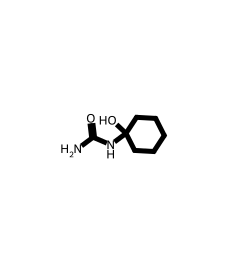 NC(=O)NC1(O)CCCCC1